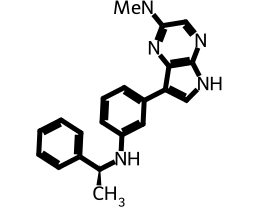 CNc1cnc2[nH]cc(-c3cccc(N[C@@H](C)c4ccccc4)c3)c2n1